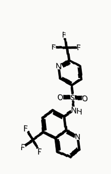 O=S(=O)(Nc1ccc(C(F)(F)F)c2cccnc12)c1ccc(C(F)(F)F)nc1